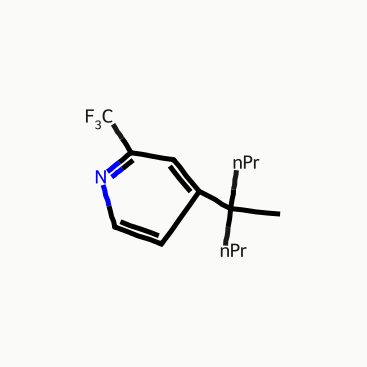 CCCC(C)(CCC)c1ccnc(C(F)(F)F)c1